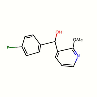 COc1ncccc1C(O)c1ccc(F)cc1